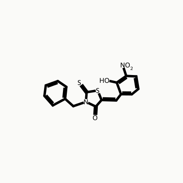 O=C1C(=Cc2cccc([N+](=O)[O-])c2O)SC(=S)N1Cc1ccccc1